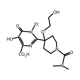 CCn1c(C2(OCCO)CCN(C(=O)N(C)C)CC2)nc(C(=O)O)c(O)c1=O